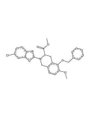 COC(=O)C1Cc2c(ccc(OC)c2OCc2ccccc2)CN1c1nc2ccc(Cl)cc2o1